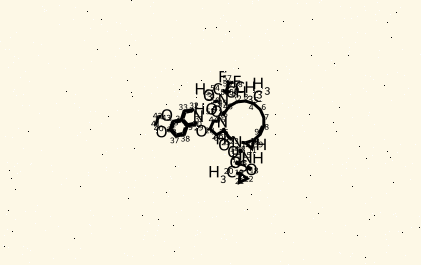 CC[C@@H]1C[C@@H](C)CC/C=C\[C@@H]2C[C@@]2(C(=O)NS(=O)(=O)C2(C)CC2)NC(=O)[C@@H]2C[C@@H](Oc3nccc4c5c(ccc34)OCCO5)CN2C(=O)[C@H]1N(C(=O)O)C(C)(C)C(F)F